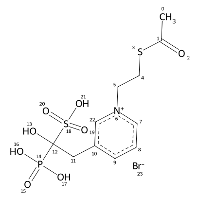 CC(=O)SCC[n+]1cccc(CC(O)(P(=O)(O)O)S(=O)(=O)O)c1.[Br-]